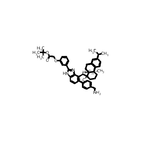 CC(C)c1ccc2c(c1)CC[C@H]1[C@@](C)(Cc3c(-c4ccc(CN)cc4)ccc4[nH]c(-c5cccc(OCC(=O)OC(C)(C)C)c5)nc34)CCC[C@]21C